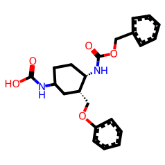 O=C(O)NC1CC[C@H](NC(=O)OCc2ccccc2)[C@H](COc2ccccc2)C1